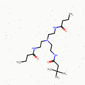 CCCC(=O)NCCN(CCNC(=O)CCC)CCNC(=O)CC(C)(C)C